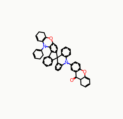 O=C1c2cc(N3c4ccccc4C4(c5ccccc5-c5c4ccc4c5N(C5=CC=CCC5)C5=C(CCC=C5)O4)c4ccccc43)ccc2OC2=CC=CCC12